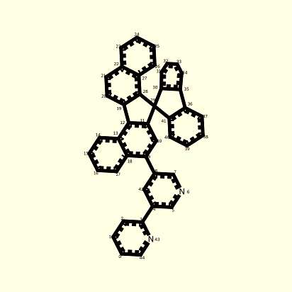 c1ccc(-c2cncc(-c3cc4c(c5ccccc35)-c3ccc5ccccc5c3C43c4ccccc4-c4ccccc43)c2)nc1